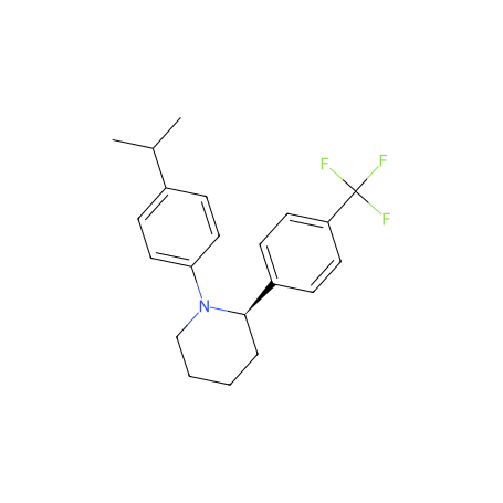 CC(C)c1ccc(N2CCCC[C@@H]2c2ccc(C(F)(F)F)cc2)cc1